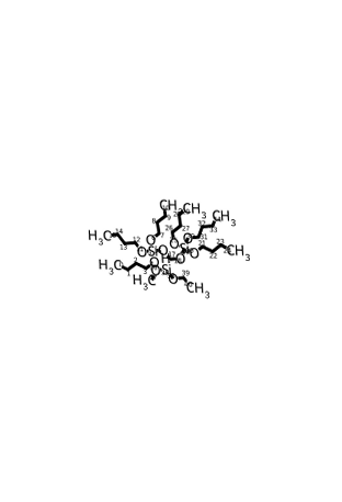 CCCCO[Si](OCCCC)(OCCCC)OC(O[Si](OCCCC)(OCCCC)OCCCC)[SiH](OC)OCC